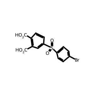 O=C(O)c1ccc(S(=O)(=O)c2ccc(Br)cc2)cc1C(=O)O